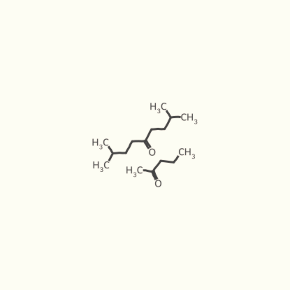 CC(C)CCC(=O)CCC(C)C.CCCC(C)=O